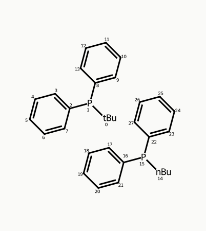 CC(C)(C)P(c1ccccc1)c1ccccc1.CCCCP(c1ccccc1)c1ccccc1